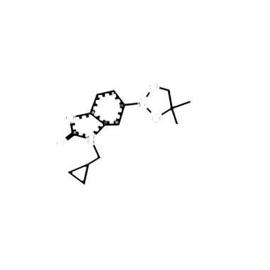 CC1(C)COB(c2ccc3oc(=O)n(CC4CC4)c3c2)O1